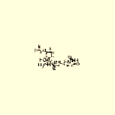 CC[C@@](O)(CNS(=O)(=O)CCCCN1CCC(=O)NC1=O)c1ccc(F)c(OCC(F)F)c1